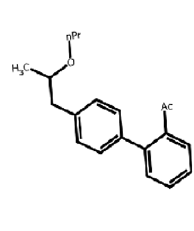 CCCOC(C)Cc1ccc(-c2ccccc2C(C)=O)cc1